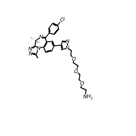 Cc1nnc2n1-c1ccc(-c3cnn(CCOCCOCCOCCN)c3)cc1C(c1ccc(Cl)cc1)=N[C@H]2C